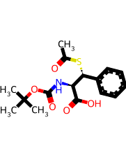 CC(=O)S[C@H](c1ccccc1)[C@H](NC(=O)OC(C)(C)C)C(=O)O